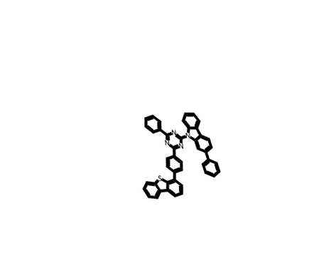 c1ccc(-c2ccc3c4ccccc4n(-c4nc(-c5ccccc5)nc(-c5ccc(-c6cccc7c6sc6ccccc67)cc5)n4)c3c2)cc1